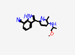 COCC(C)Nc1ccc(-c2c[nH]c3c(C#N)cccc23)nc1C